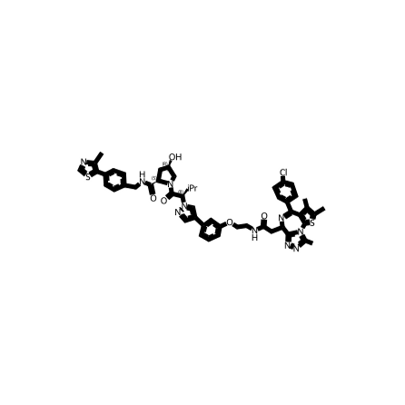 Cc1ncsc1-c1ccc(CNC(=O)[C@@H]2C[C@@H](O)CN2C(=O)[C@@H](C(C)C)n2cc(-c3cccc(OCCNC(=O)CC4N=C(c5ccc(Cl)cc5)c5c(sc(C)c5C)-n5c(C)nnc54)c3)cn2)cc1